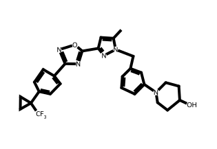 Cc1cc(-c2nc(-c3ccc(C4(C(F)(F)F)CC4)cc3)no2)nn1Cc1cccc(N2CCC(O)CC2)c1